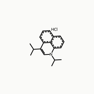 CC(C)C1=CN(C(C)C)c2cccc3cccc1c23.Cl